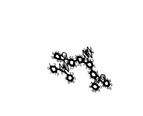 c1ccc(-c2cc(-c3ccccc3)nc(N3c4ccc(-c5ccc6c(c5)c5cc(-c7ccc8c(c7)C7Oc9ccccc9C7N8c7ccccc7)ccc5n6-c5ncncn5)cc4C4Oc5ccccc5C43)n2)cc1